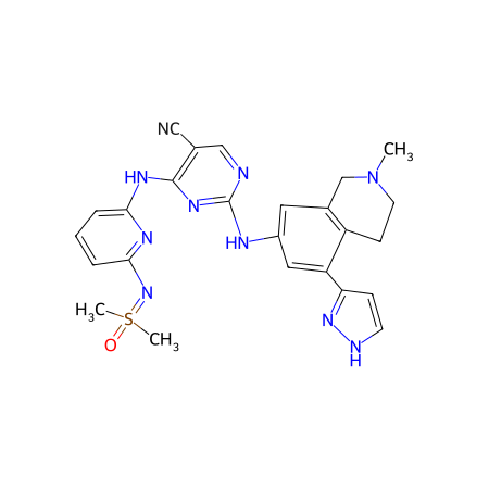 CN1CCc2c(cc(Nc3ncc(C#N)c(Nc4cccc(N=S(C)(C)=O)n4)n3)cc2-c2cc[nH]n2)C1